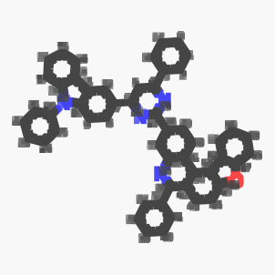 c1ccc(-c2cc(-c3ccc4c(c3)c3ccccc3n4-c3ccccc3)nc(-c3ccc4c(c3)nc(-c3ccccc3)c3ccc5oc6ccccc6c5c34)n2)cc1